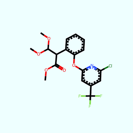 COC(=O)C(c1ccccc1Oc1cc(C(F)(F)F)cc(Cl)n1)C(OC)OC